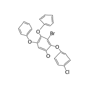 [O]c1cc(Oc2ccccc2)c(Oc2ccccc2)c(Br)c1Oc1ccc(Cl)cc1